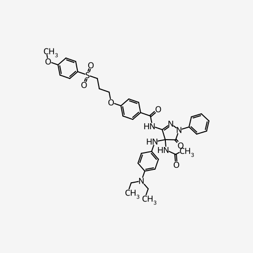 CCN(CC)c1ccc(NC2(NC(C)=O)C(=O)N(c3ccccc3)N=C2NC(=O)c2ccc(OCCCS(=O)(=O)c3ccc(OC)cc3)cc2)cc1